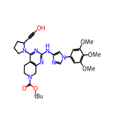 COc1cc(-n2cnc(Nc3nc4c(c(N5CCCC5C#CO)n3)CCN(C(=O)OC(C)(C)C)C4)c2)cc(OC)c1OC